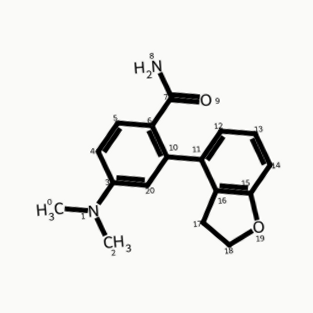 CN(C)c1ccc(C(N)=O)c(-c2cccc3c2CCO3)c1